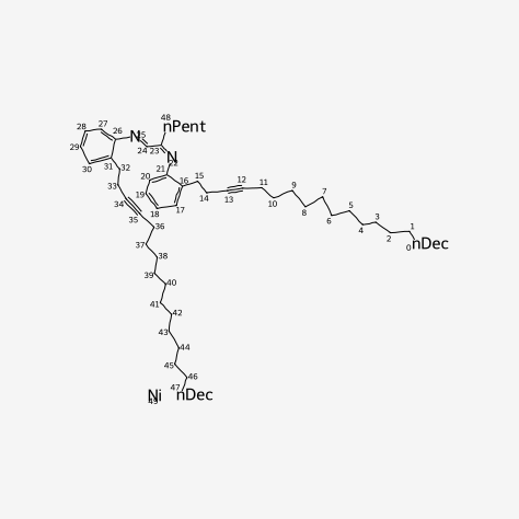 CCCCCCCCCCCCCCCCCCCCCC#CCCc1ccccc1/N=C(\C=N\c1ccccc1CCC#CCCCCCCCCCCCCCCCCCCCCC)CCCCC.[Ni]